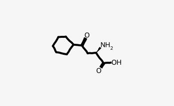 N[C@H](CC(=O)C1CCCCC1)C(=O)O